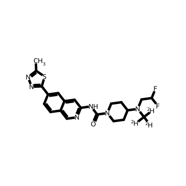 [2H]C([2H])([2H])N(CC(F)F)C1CCN(C(=O)Nc2cc3cc(-c4nnc(C)s4)ccc3cn2)CC1